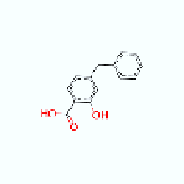 O=C(O)c1ccc(Cc2ccccc2)cc1O